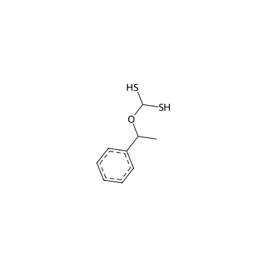 CC(OC(S)S)c1ccccc1